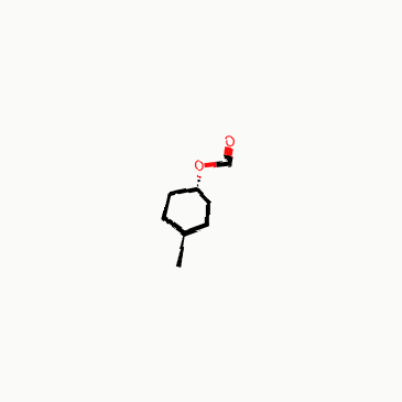 C[C@H]1CC[C@H](OC=O)CC1